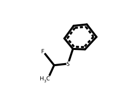 CC(F)Sc1ccccc1